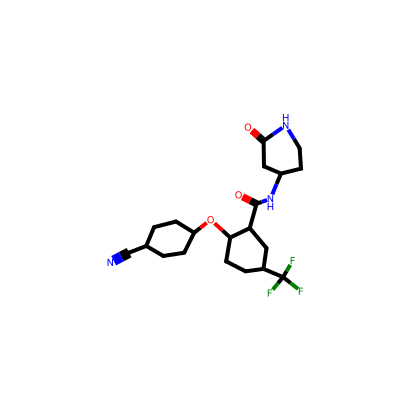 N#CC1CCC(OC2CCC(C(F)(F)F)CC2C(=O)NC2CCNC(=O)C2)CC1